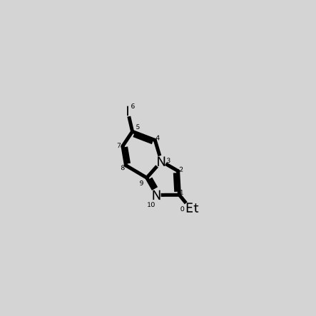 CCc1cn2cc(I)ccc2n1